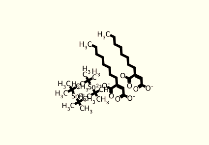 CCCCCCCC/C(=C/C(=O)[O-])C(=O)[O-].CCCCCCCC/C(=C/C(=O)[O-])C(=O)[O-].C[C](C)(C)[Sn+2][C](C)(C)C.C[C](C)(C)[Sn+2][C](C)(C)C